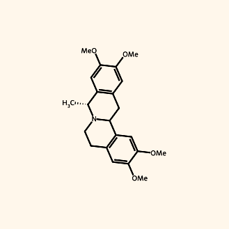 COc1cc2c(cc1OC)C1Cc3cc(OC)c(OC)cc3[C@@H](C)N1CC2